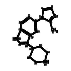 Cc1nccn1-c1ccc2[nH]cc(C3CCNCC3)c2c1